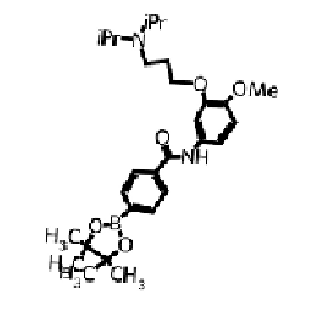 COc1ccc(NC(=O)c2ccc(B3OC(C)(C)C(C)(C)O3)cc2)cc1OCCCN(C(C)C)C(C)C